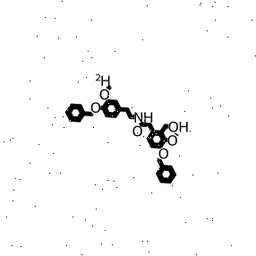 [2H]COc1cc(CCNC(=O)Cc2ccc(OCc3ccccc3)c(OC)c2CO)ccc1OCc1ccccc1